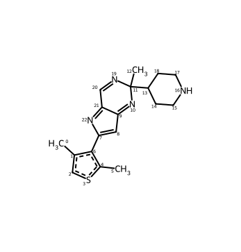 Cc1csc(C)c1C1=CC2=NC(C)(C3CCNCC3)N=CC2=N1